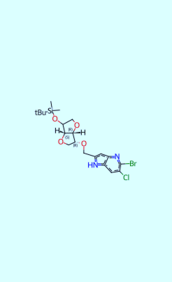 CC(C)(C)[Si](C)(C)OC1CO[C@H]2[C@@H]1OC[C@H]2OCc1cc2nc(Br)c(Cl)cc2[nH]1